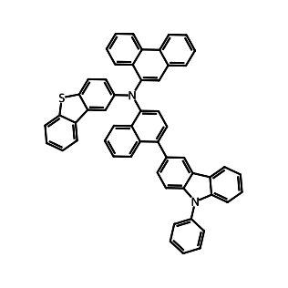 c1ccc(-n2c3ccccc3c3cc(-c4ccc(N(c5ccc6sc7ccccc7c6c5)c5cc6ccccc6c6ccccc56)c5ccccc45)ccc32)cc1